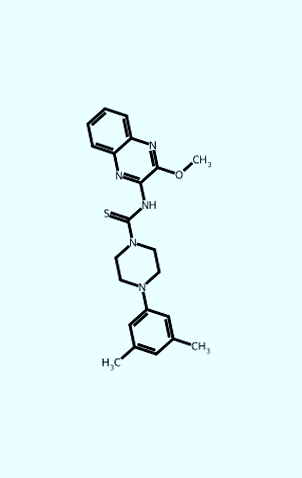 COc1nc2ccccc2nc1NC(=S)N1CCN(c2cc(C)cc(C)c2)CC1